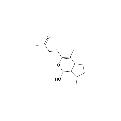 CC(=O)/C=C/C1=C(C)C2CCC(C)C2C(O)O1